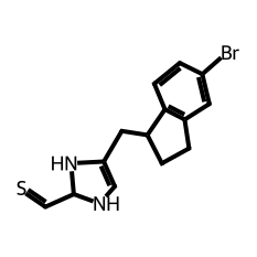 S=CC1NC=C(CC2CCc3cc(Br)ccc32)N1